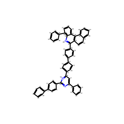 c1ccc(-c2ccc(-c3nc(-c4ccccc4)cc(-c4ccc(-c5ccc(-c6nc7c(-c8ccccc8)cccc7c7c6ccc6ccccc67)cc5)cc4)n3)cc2)cc1